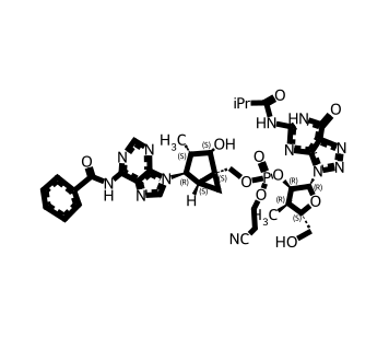 CC(C)C(=O)Nc1nc2c(nnn2[C@@H]2O[C@H](CO)[C@@H](C)[C@H]2OP(=O)(OCCC#N)OC[C@]23C[C@@H]2[C@@H](n2cnc4c(NC(=O)c5ccccc5)ncnc42)[C@H](C)[C@@H]3O)c(=O)[nH]1